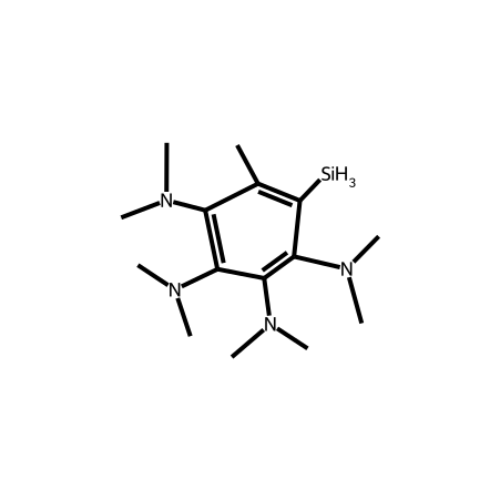 Cc1c([SiH3])c(N(C)C)c(N(C)C)c(N(C)C)c1N(C)C